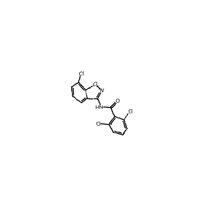 O=C(Nc1noc2c(Cl)cccc12)c1c(Cl)cccc1Cl